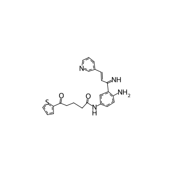 N=C(/C=C/c1cccnc1)c1cc(NC(=O)CCCC(=O)c2cccs2)ccc1N